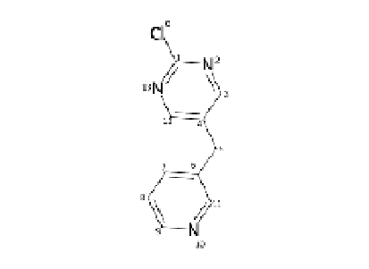 Clc1ncc(Cc2cccnc2)cn1